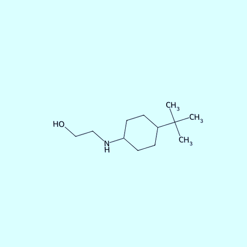 CC(C)(C)C1CCC(NCCO)CC1